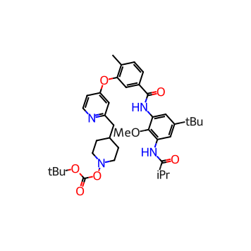 COc1c(NC(=O)c2ccc(C)c(Oc3ccnc(CC4CCN(OC(=O)OC(C)(C)C)CC4)c3)c2)cc(C(C)(C)C)cc1NC(=O)C(C)C